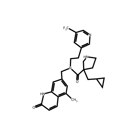 Cc1cc(CN(CCc2cncc(C(F)(F)F)c2)C(=O)C2(CC3CC3)CCNC2)cc2[nH]c(=O)ccc12